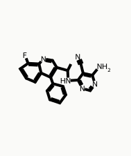 CC(Nc1ncnc(N)c1C#N)c1cnc2c(F)cccc2c1-c1ccccc1